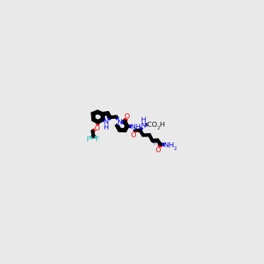 NC(=O)/C=C/CCC(NC(=O)O)C(=O)Nc1cccn(Cc2cc3cccc(OCC(F)F)c3[nH]2)c1=O